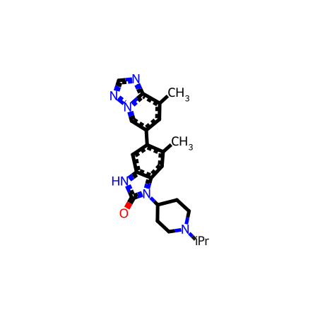 Cc1cc2c(cc1-c1cc(C)c3ncnn3c1)[nH]c(=O)n2C1CCN(C(C)C)CC1